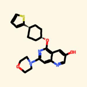 Oc1cnc2cc(N3CCOCC3)nc(O[C@H]3CC[C@@H](c4cccs4)CC3)c2c1